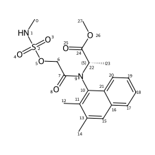 CNS(=O)(=O)OCC(=O)N(c1c(C)c(C)cc2ccccc12)[C@@H](C)C(=O)OC